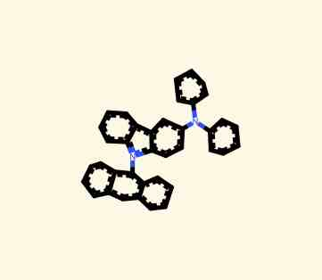 c1ccc(N(c2ccccc2)c2ccc3c(c2)c2ccccc2n3-c2c3ccccc3cc3ccccc23)cc1